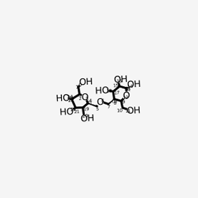 OCC1O[C@@H](COC[C@@H]2C(CO)O[C@@H](O)C(O)C2O)C(O)C(O)[C@H]1O